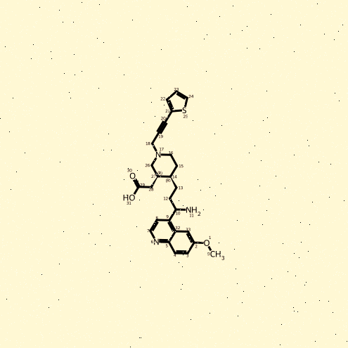 COc1ccc2nccc(C(N)CC[C@@H]3CCN(CC#Cc4cccs4)C[C@@H]3CC(=O)O)c2c1